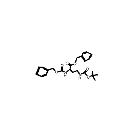 CC(C)(C)OC(=O)NCCC(NC(=O)OCc1ccccc1)C(=O)OCc1ccccc1